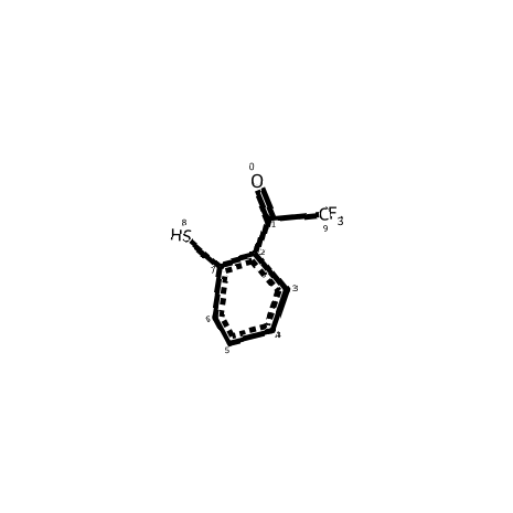 O=C(c1ccccc1S)C(F)(F)F